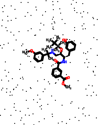 COC(=O)c1cccc(C(=O)N[C@@H](Cc2cccc(O)c2)[C@@H](CNC(C)(C)c2cccc(OC)c2)O[Si](C)(C)C(C)(C)C)c1